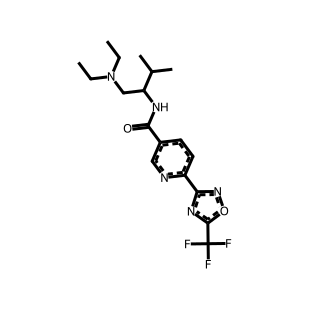 CCN(CC)CC(NC(=O)c1ccc(-c2noc(C(F)(F)F)n2)nc1)C(C)C